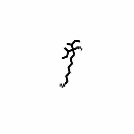 CCC(C)C(N)(CCCCCCCN)C(C)CC